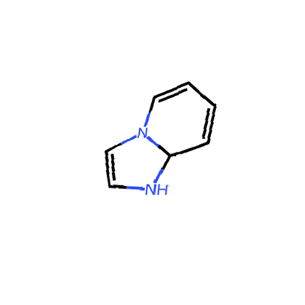 C1=C[C]2NC=CN2C=C1